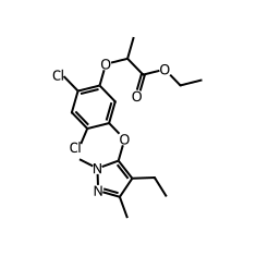 CCOC(=O)C(C)Oc1cc(Oc2c(CC)c(C)nn2C)c(Cl)cc1Cl